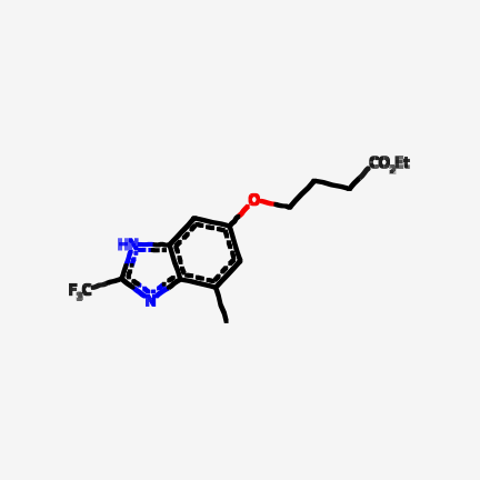 CCOC(=O)CCCOc1cc(C)c2nc(C(F)(F)F)[nH]c2c1